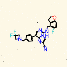 N#Cc1cn2c(NCc3c(F)ccc4c3CCO4)ncc(-c3ccc(CN4CC(F)(F)C4)cc3)c2n1